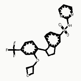 O=S(=O)(Nc1ncccn1)c1ccc2c(c1)CCC2c1ccc(C(F)(F)F)cc1OC1COC1